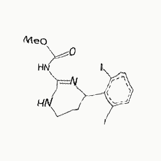 COC(=O)NC1=NC(c2c(I)cccc2I)CCN1